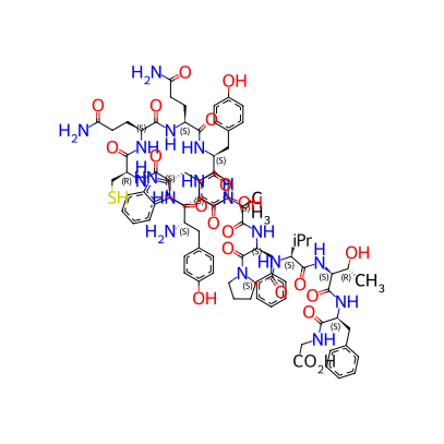 CC(C)[C@H](NC(=O)[C@@H]1CCCN1C(=O)[C@H](Cc1ccccc1)NC(=O)[C@H](C)NC(=O)[C@H](Cc1c[nH]c2ccccc12)NC(=O)[C@H](Cc1ccc(O)cc1)NC(=O)[C@H](CCC(N)=O)NC(=O)[C@H](CCC(N)=O)NC(=O)[C@H](CS)NC(=O)[C@H](Cc1ccc(O)cc1)NC(=O)[C@@H](N)Cc1ccc(O)cc1)C(=O)N[C@H](C(=O)N[C@@H](Cc1ccccc1)C(=O)NCC(=O)O)[C@@H](C)O